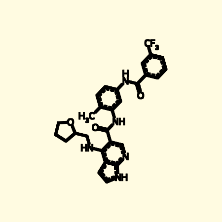 Cc1ccc(NC(=O)c2cccc(C(F)(F)F)c2)cc1NC(=O)c1cnc2[nH]ccc2c1NCC1CCCO1